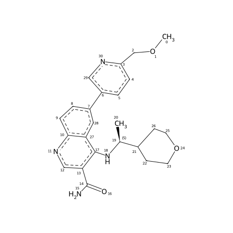 COCc1ccc(-c2ccc3ncc(C(N)=O)c(N[C@@H](C)C4CCOCC4)c3c2)cn1